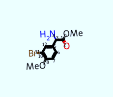 COC(=O)[C@H](N)c1ccc(OC)c(Br)c1